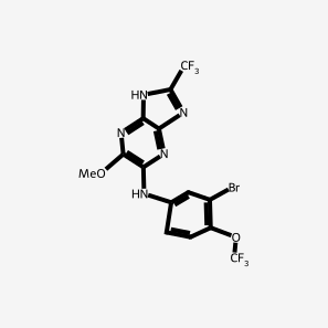 COc1nc2[nH]c(C(F)(F)F)nc2nc1Nc1ccc(OC(F)(F)F)c(Br)c1